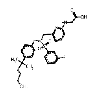 CCCCC(C)(C)c1ccc(CN(Cc2cccc(NCC(=O)O)n2)S(=O)(=O)c2cccc(F)c2)cc1